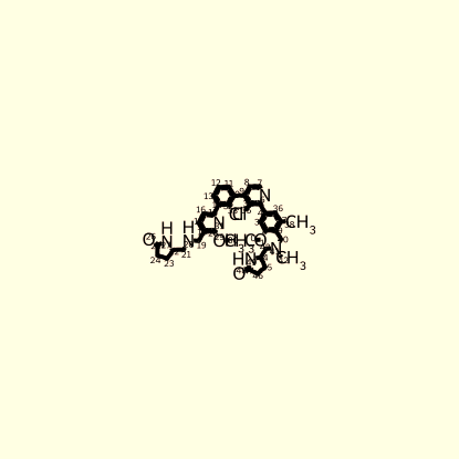 COc1cc(-c2nccc(-c3cccc(-c4ccc(CNCC5CCC(=O)N5)c(OC)n4)c3Cl)c2Cl)cc(C)c1CN(C)CC1CCC(=O)N1